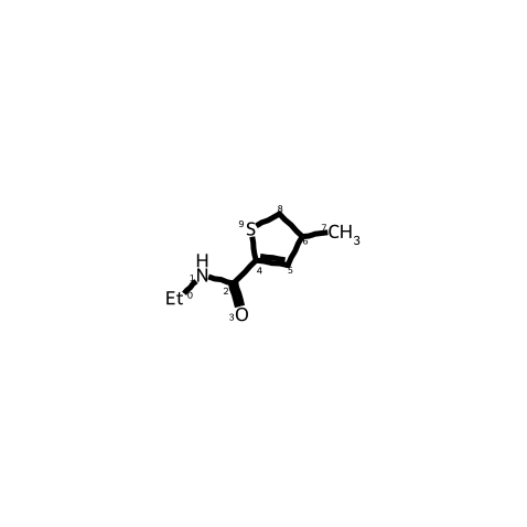 CCNC(=O)C1=CC(C)CS1